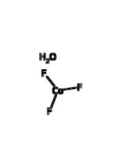 O.[F][Co]([F])[F]